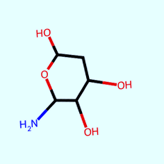 NC1OC(O)CC(O)C1O